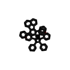 c1ccc(C2=C(c3ccccc3)[Si](c3ccccc3)(c3cc(-c4ccccc4)c4c(c3-c3ccccc3)-c3cccc5cccc-4c35)C(c3ccccc3)=C2c2ccccc2)cc1